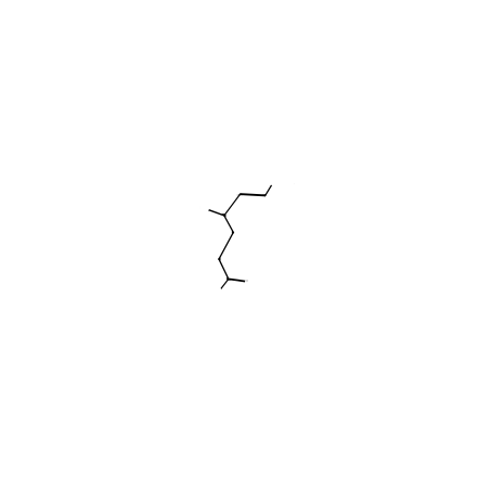 CC[CH]C(C)CCC(C)C